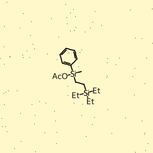 CC[Si](CC)(CC)CC[Si](C)(OC(C)=O)c1ccccc1